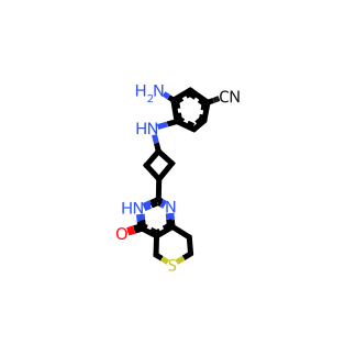 N#Cc1ccc(NC2CC(c3nc4c(c(=O)[nH]3)CSCC4)C2)c(N)c1